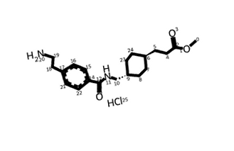 COC(=O)CC[C@H]1CC[C@H](CNC(=O)c2ccc(CCN)cc2)CC1.Cl